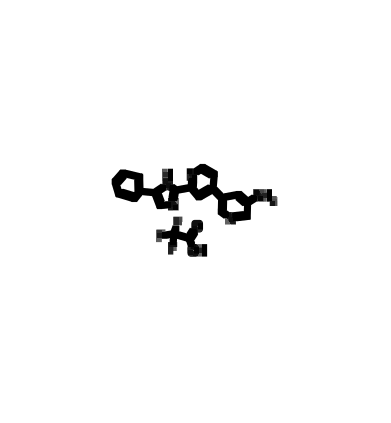 Nc1cncc(-c2ccnc(-c3ncc(-c4ccccc4)[nH]3)c2)c1.O=C(O)C(F)(F)F